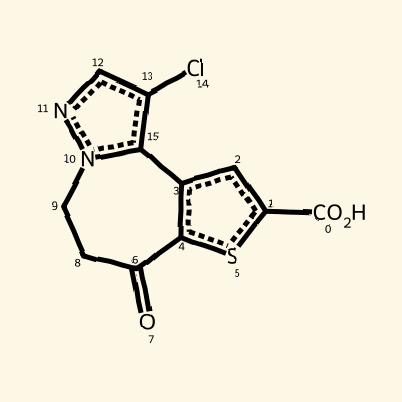 O=C(O)c1cc2c(s1)C(=O)CCn1ncc(Cl)c1-2